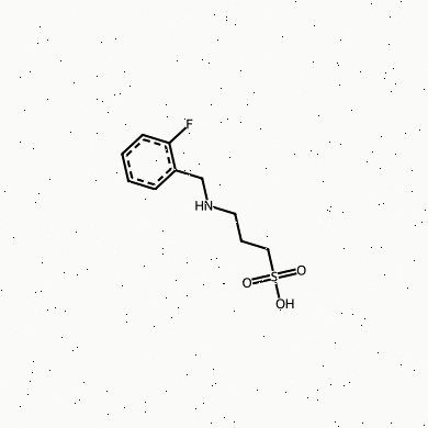 O=S(=O)(O)CCCNCc1ccccc1F